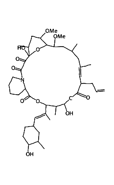 C=CCC1/C=C(\C)CC(C)CC(OC)C2OC(O)(C(=O)C(=O)N3CCCCC3C(=O)OC(/C(C)=C/C3CCC(O)C(C)C3)C(C)C(O)CC1=O)C(C)CC2OC